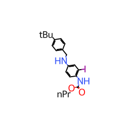 CCCOC(=O)Nc1ccc(NCc2ccc(C(C)(C)C)cc2)cc1I